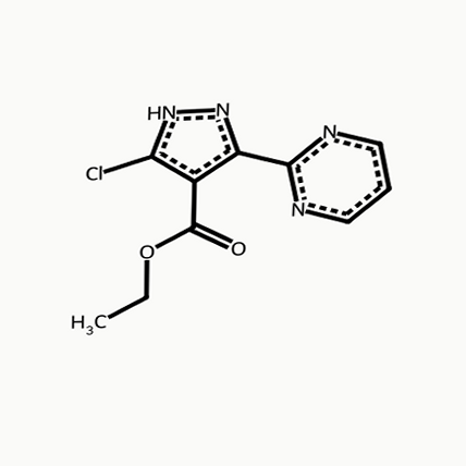 CCOC(=O)c1c(-c2ncccn2)n[nH]c1Cl